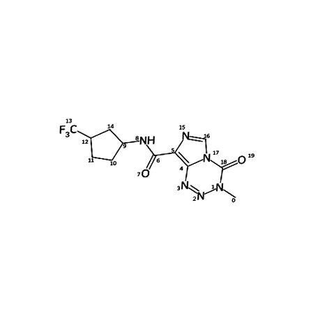 Cn1nnc2c(C(=O)NC3CCC(C(F)(F)F)C3)ncn2c1=O